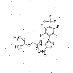 COC(C)OCC(=O)Nc1c([N+](=O)[O-])cnn1-c1c(F)c(F)c(C(F)(F)F)c(F)c1F